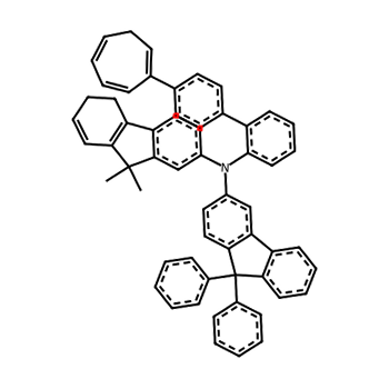 CC1(C)C2=C(CCC=C2)c2ccc(N(c3ccc4c(c3)-c3ccccc3C4(c3ccccc3)c3ccccc3)c3ccccc3-c3ccc(C4=CCC=CC=C4)cc3)cc21